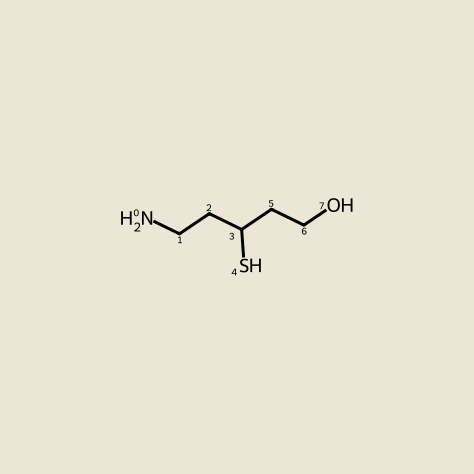 NCCC(S)CCO